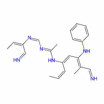 C\C=C/C(=C\C(Nc1ccccc1)=C(/C)C=N)N/C(C)=N/C=N\C(C=N)=C\C